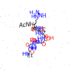 CCNC(=O)CNC(=O)[C@H](CO)NC(=O)CNC(=O)[C@H](CO)NC(=O)[C@H](CC(=O)O)NC(=O)CNC(=O)C(CCCNC(=N)N)NC(C)=O